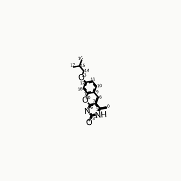 C=c1[nH]c(=O)nc2c1=Cc1ccc(OCC(C)C)cc1O2